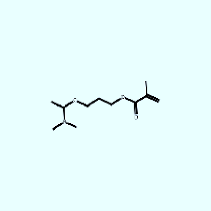 C=C(C)C(=O)OCCCOC(C)N(C)C